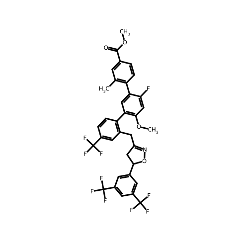 COC(=O)c1ccc(-c2cc(-c3ccc(C(F)(F)F)cc3CC3=NOC(c4cc(C(F)(F)F)cc(C(F)(F)F)c4)C3)c(OC)cc2F)c(C)c1